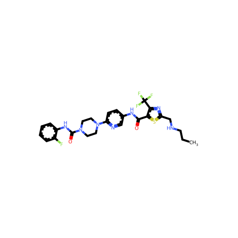 CCCNCc1nc(C(F)(F)F)c(C(=O)Nc2ccc(N3CCN(C(=O)Nc4ccccc4F)CC3)nc2)s1